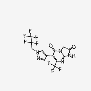 O=C1Cn2c(nc(C(F)(F)F)c(-c3cnn(CC(F)(F)C(F)(F)F)c3)c2=O)N1